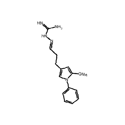 COc1cc(CCC=NNC(=N)N)cn1-c1ccccc1